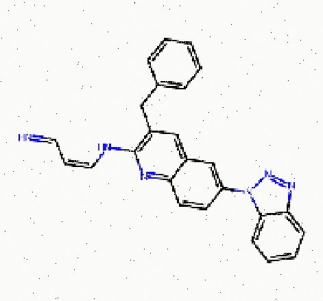 N=C/C=C\Nc1nc2ccc(-n3nnc4ccccc43)cc2cc1Cc1ccccc1